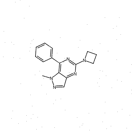 Cn1ncc2nc(N3CCC3)nc(-c3ccccc3)c21